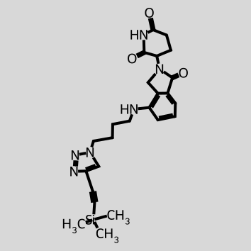 C[Si](C)(C)C#Cc1cn(CCCCNc2cccc3c2CN(C2CCC(=O)NC2=O)C3=O)nn1